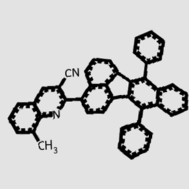 Cc1cccc2cc(C#N)c(-c3ccc4c5c(cccc35)-c3c-4c(-c4ccccc4)c4ccccc4c3-c3ccccc3)nc12